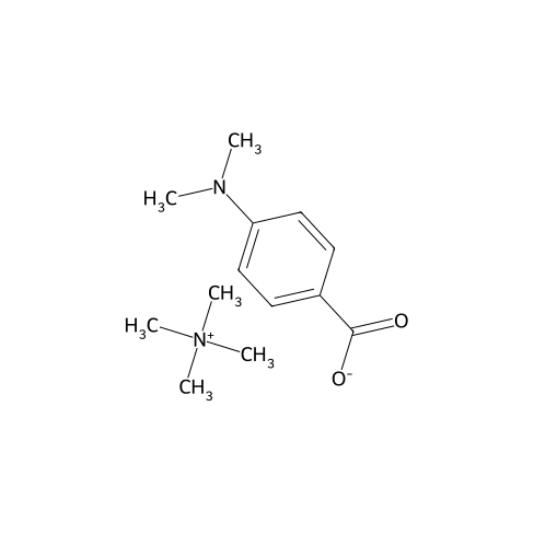 CN(C)c1ccc(C(=O)[O-])cc1.C[N+](C)(C)C